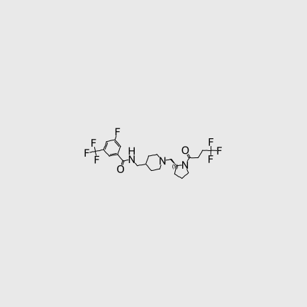 O=C(NCC1CCN(C[C@@H]2CCCN2C(=O)CCC(F)(F)F)CC1)c1cc(F)cc(C(F)(F)F)c1